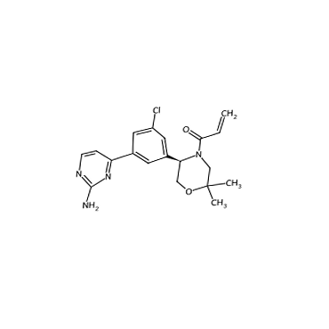 C=CC(=O)N1CC(C)(C)OC[C@H]1c1cc(Cl)cc(-c2ccnc(N)n2)c1